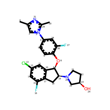 Cc1cn(-c2ccc(O[C@@H]3c4cc(Cl)cc(F)c4C[C@@H]3N3CC[C@@H](O)C3)c(F)c2)c(C)n1